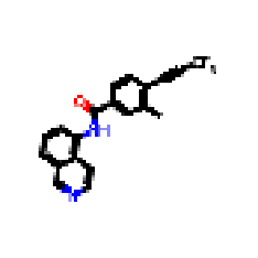 Cc1cc(C(=O)Nc2cccc3cnccc23)ccc1C#CC(F)(F)F